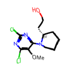 COc1c(Cl)nc(Cl)nc1N1CCCC[C@H]1CCO